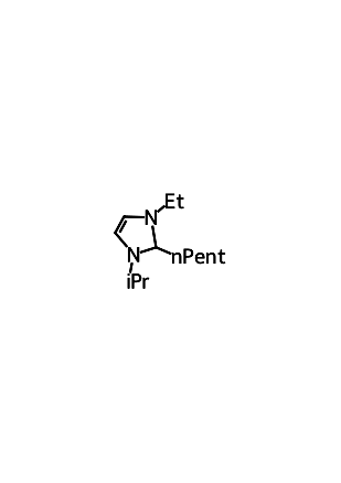 CCCCCC1N(CC)C=CN1C(C)C